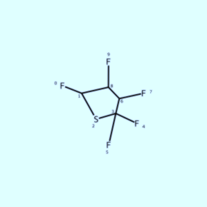 FC1SC(F)(F)C(F)C1F